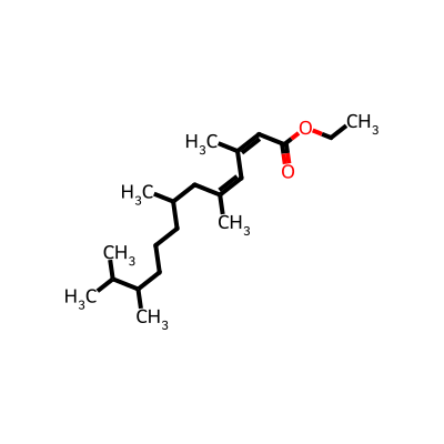 CCOC(=O)C=C(C)C=C(C)CC(C)CCCC(C)C(C)C